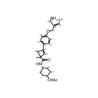 CO[C@H]1CC[C@H](NC(=O)C2(C)C=C(c3ccc(OC/C(=C/F)CN)cc3)C2)CC1